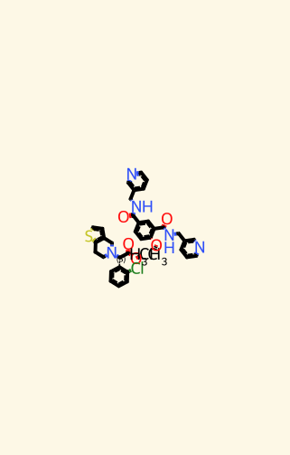 COC(=O)[C@H](c1ccccc1Cl)N1CCc2sccc2C1.COc1ccc(C(=O)NCc2cccnc2)cc1C(=O)NCc1cccnc1